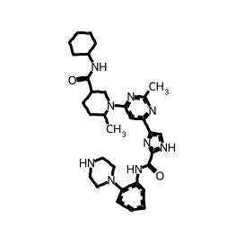 Cc1nc(-c2c[nH]c(C(=O)Nc3ccccc3N3CCNCC3)n2)cc(N2CC(C(=O)NC3CCCCC3)CCC2C)n1